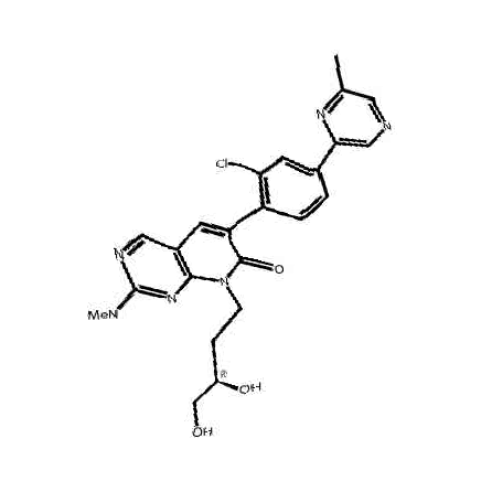 CNc1ncc2cc(-c3ccc(-c4cncc(C)n4)cc3Cl)c(=O)n(CC[C@@H](O)CO)c2n1